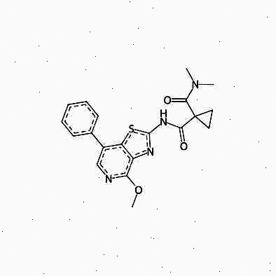 COc1ncc(-c2ccccc2)c2sc(NC(=O)C3(C(=O)N(C)C)CC3)nc12